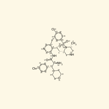 C[C@@H]1CNC[C@H](CCc2c(F)cncc2NC(=O)[C@@H](N)[C@@H](c2ccc(Cl)cc2)C2CCOCC2)N1S(=O)(=O)c1ccc(Cl)cc1